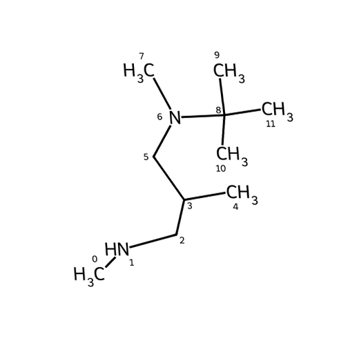 CNCC(C)CN(C)C(C)(C)C